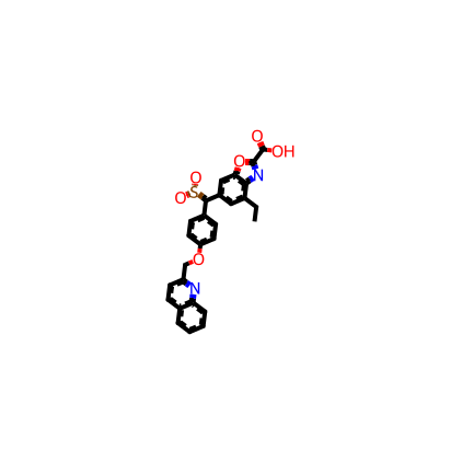 CCc1cc(C(c2ccc(OCc3ccc4ccccc4n3)cc2)=S(=O)=O)cc2oc(C(=O)O)nc12